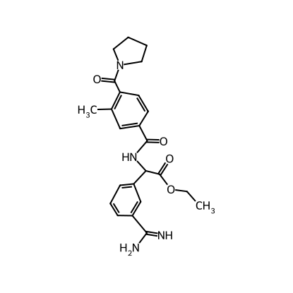 CCOC(=O)C(NC(=O)c1ccc(C(=O)N2CCCC2)c(C)c1)c1cccc(C(=N)N)c1